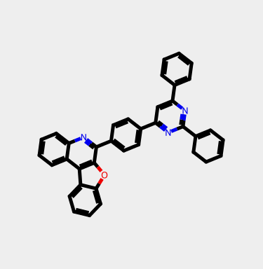 C1=CCCC(c2nc(-c3ccccc3)cc(-c3ccc(-c4nc5ccccc5c5c4oc4ccccc45)cc3)n2)=C1